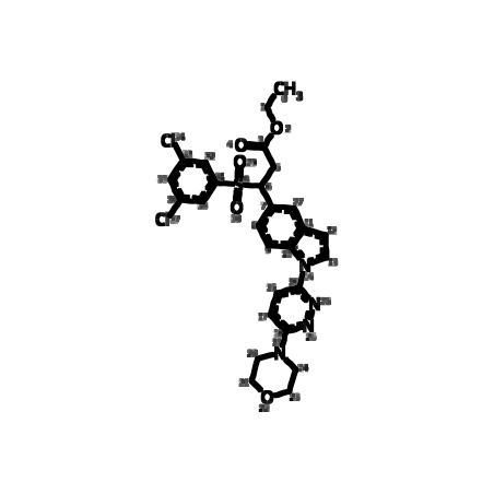 CCOC(=O)CC(c1ccc2c(ccn2-c2ccc(N3CCOCC3)nn2)c1)S(=O)(=O)c1cc(Cl)cc(Cl)c1